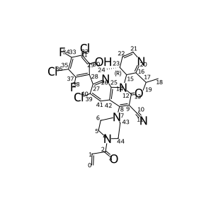 C=CC(=O)N1CCN(c2c(C#N)c(=O)n(C3C(C(C)C)=NC=C[C@H]3C)c3nc(-c4c(O)c(Cl)c(F)c(Cl)c4F)c(Cl)cc23)CC1